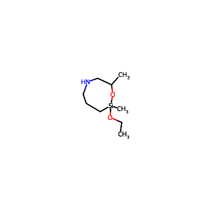 CCO[Si]1(C)CCCNCC(C)O1